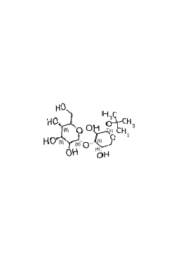 CC(C)(C)O[C@@H]1OC[C@H](O)[C@H](O[C@H]2OC(CO)[C@H](O)[C@H](O)C2O)C1O